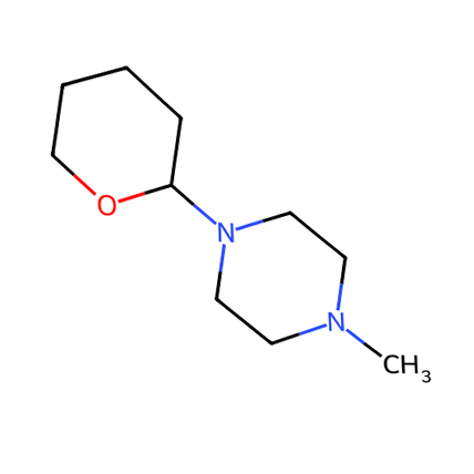 CN1CCN(C2CCCCO2)CC1